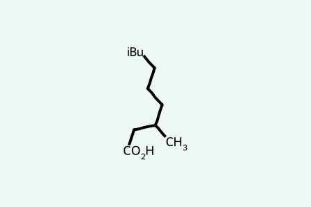 CCC(C)CCCC(C)CC(=O)O